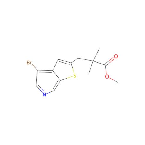 COC(=O)C(C)(C)Cc1cc2c(Br)cncc2s1